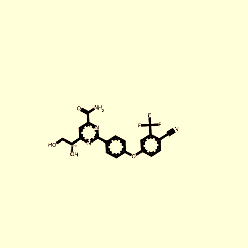 N#Cc1ccc(Oc2ccc(-c3nc(C(N)=O)cc([C@@H](O)CO)n3)cc2)cc1C(F)(F)F